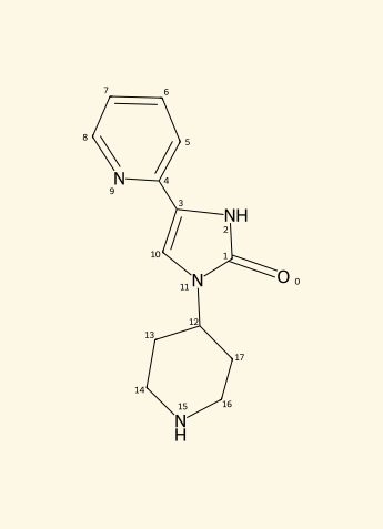 O=c1[nH]c(-c2ccccn2)cn1C1CCNCC1